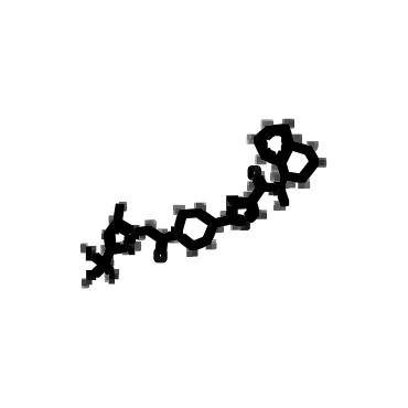 Cc1cc(C(F)(F)F)nn1CC(=O)N1CCC(c2nc(C(=O)N(C)[C@H]3CCCc4ccccc43)cs2)CC1